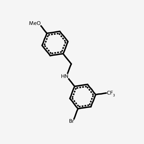 COc1ccc(CNc2cc(Br)cc(C(F)(F)F)c2)cc1